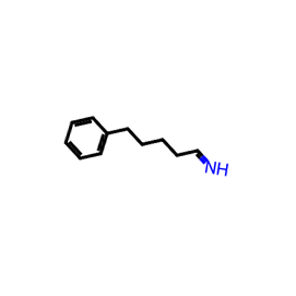 N=CCCCCc1ccccc1